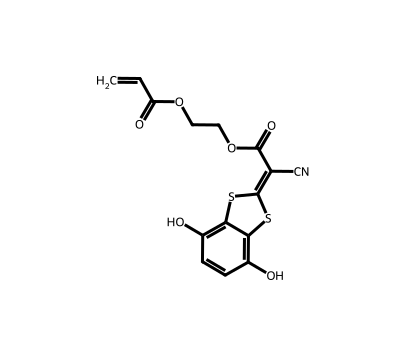 C=CC(=O)OCCOC(=O)C(C#N)=C1Sc2c(O)ccc(O)c2S1